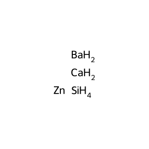 [BaH2].[CaH2].[SiH4].[Zn]